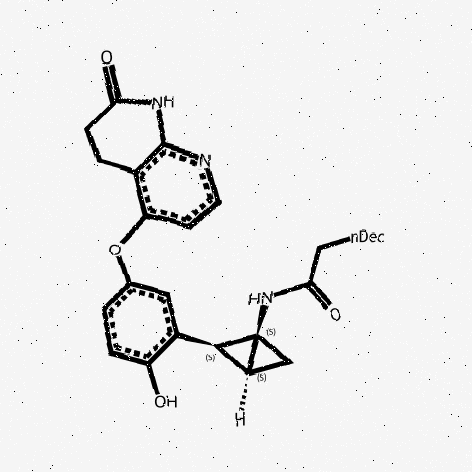 CCCCCCCCCCCC(=O)N[C@@]12C[C@H]1[C@H]2c1cc(Oc2ccnc3c2CCC(=O)N3)ccc1O